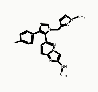 CNc1cn2nc(-c3c(-c4ccc(F)cc4)ncn3Cc3ccn(C)n3)ccc2n1